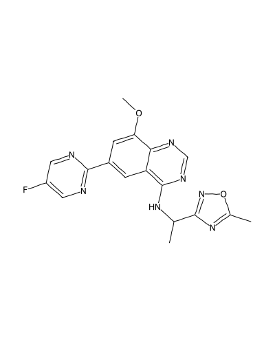 COc1cc(-c2ncc(F)cn2)cc2c(NC(C)c3noc(C)n3)ncnc12